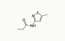 CCC(=O)Nc1cc(C)sn1